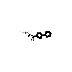 CCCCCC[C@H](C)OC(=O)c1ccc(-c2cc[c]cc2)cc1